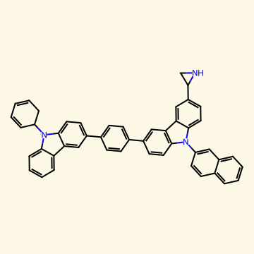 C1=CCC(n2c3ccccc3c3cc(-c4ccc(-c5ccc6c(c5)c5cc(C7CN7)ccc5n6-c5ccc6ccccc6c5)cc4)ccc32)C=C1